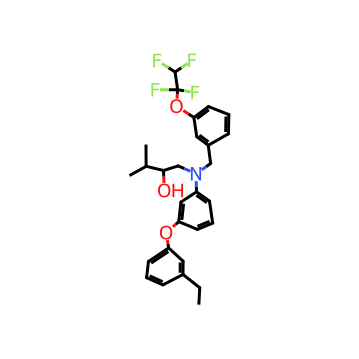 CCc1cccc(Oc2cccc(N(Cc3cccc(OC(F)(F)C(F)F)c3)CC(O)C(C)C)c2)c1